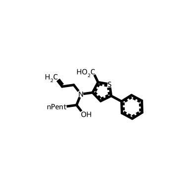 C=CCN(c1cc(-c2ccccc2)sc1C(=O)O)C(O)CCCCC